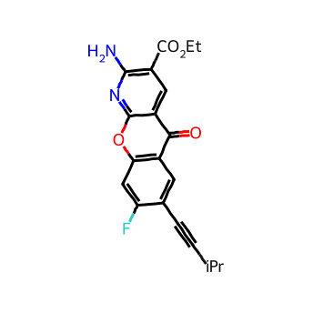 CCOC(=O)c1cc2c(=O)c3cc(C#CC(C)C)c(F)cc3oc2nc1N